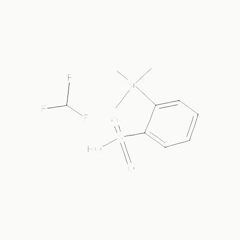 C[Si](C)(C)c1ccccc1S(=O)(=O)O.FC(F)F